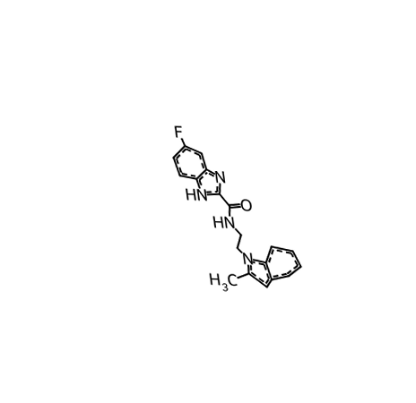 Cc1cc2ccccc2n1CCNC(=O)c1nc2cc(F)ccc2[nH]1